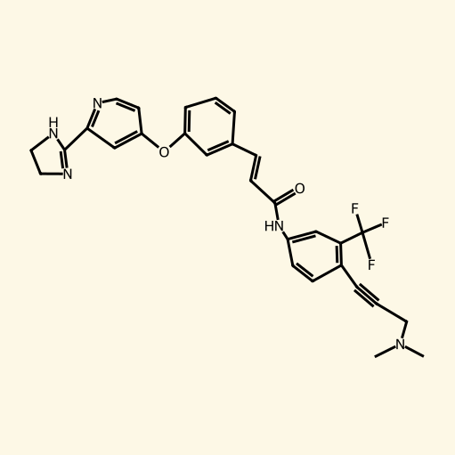 CN(C)CC#Cc1ccc(NC(=O)C=Cc2cccc(Oc3ccnc(C4=NCCN4)c3)c2)cc1C(F)(F)F